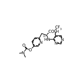 CN(C)C(=O)Oc1ccc(C[C@H](Nc2ncncc2CC(F)(F)F)C(=O)O)nc1